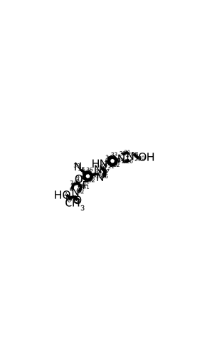 C[C@H](O)C(=O)N1CC[C@H](Oc2ccc(-c3nccc(Nc4ccc(N5CCN(CCO)CC5)cc4)n3)cc2C#N)[C@H](F)C1